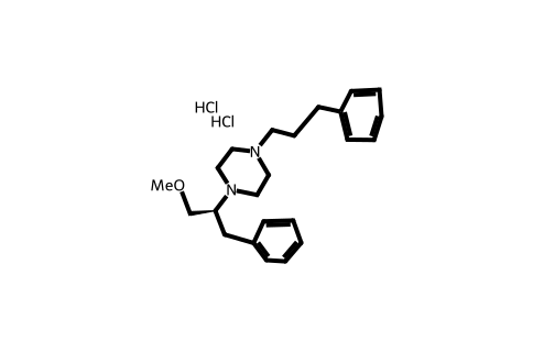 COC[C@H](Cc1ccccc1)N1CCN(CCCc2ccccc2)CC1.Cl.Cl